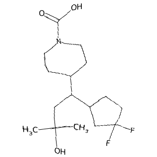 CC(C)(O)CC(C1CCN(C(=O)O)CC1)C1CCC(F)(F)C1